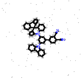 N#Cc1ccc(-c2cc(N3c4ccccc4C4(c5ccccc5-c5ccccc54)c4ccccc43)cc(-n3c4ccccc4c4ccccc43)c2)cc1C#N